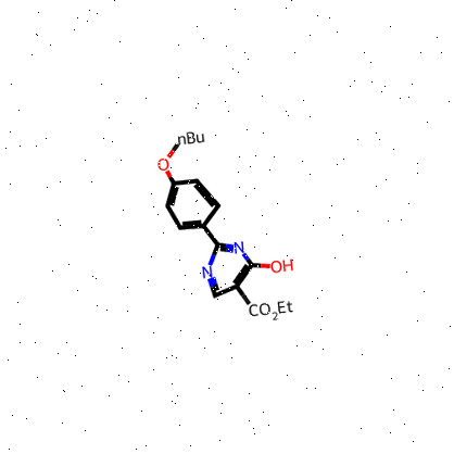 CCCCOc1ccc(-c2ncc(C(=O)OCC)c(O)n2)cc1